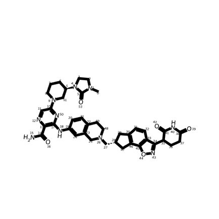 CN1CCN([C@@H]2CCCN(c3cnc(C(N)=O)c(Nc4ccc5c(c4)CN(C[C@@H]4Cc6ccc7c(C8CCC(=O)NC8=O)noc7c6C4)CC5)n3)C2)C1=O